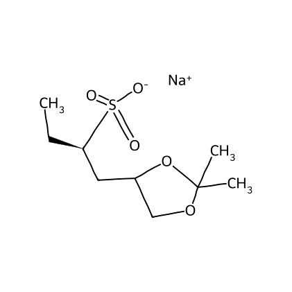 CC[C@H](CC1COC(C)(C)O1)S(=O)(=O)[O-].[Na+]